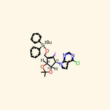 CC1(C)O[C@@H]2[C@H](O1)C(CO[Si](c1ccccc1)(c1ccccc1)C(C)(C)C)=C(I)[C@H]2n1ccc2c(Cl)ncnc21